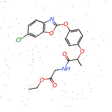 CCOC(=O)CNC(=O)C(C)Oc1ccc(Oc2nc3ccc(Cl)cc3o2)cc1